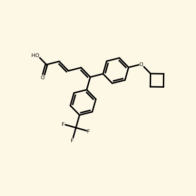 O=C(O)C=CC=C(c1ccc(OC2CCC2)cc1)c1ccc(C(F)(F)F)cc1